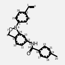 C=Cc1ccc(B2OCc3ccc(NC(=O)c4ccc(C)cc4)cc32)cc1